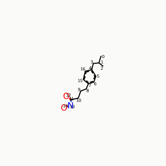 CC(C)Cc1ccc(CCCC(=O)N=O)cc1